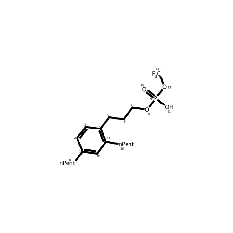 CCCCCc1ccc(CCCOP(=O)(O)OC(F)(F)F)c(CCCCC)c1